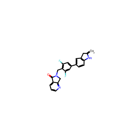 C=C1Cc2cc(-c3cc(F)c(CN4Cc5ncccc5C4=O)c(F)c3)ccc2N1